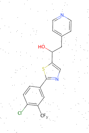 OC(Cc1ccncc1)c1cnc(-c2ccc(Cl)c(C(F)(F)F)c2)s1